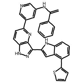 C=C(Nc1cncc(-c2ccc3[nH]nc(-c4cc5c(-c6cccs6)cccc5[nH]4)c3n2)c1)c1ccccc1